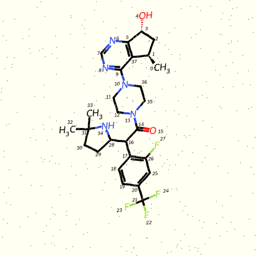 C[C@@H]1C[C@@H](O)c2ncnc(N3CCN(C(=O)C(c4ccc(C(F)(F)F)cc4F)C4CCC(C)(C)N4)CC3)c21